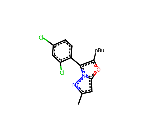 CCCCc1oc2cc(C)nn2c1-c1ccc(Cl)cc1Cl